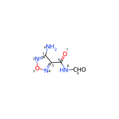 Nc1nonc1C(=O)NC=O